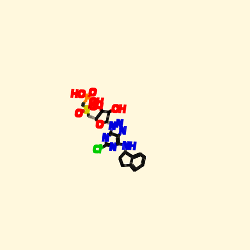 O=P(O)(O)CS(=O)(=O)C[C@H]1O[C@@H](n2nnc3c(NC4CCc5ccccc54)nc(Cl)nc32)[C@H](O)[C@@H]1O